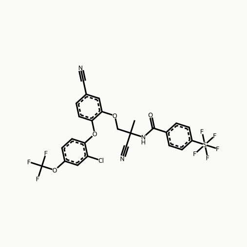 CC(C#N)(COc1cc(C#N)ccc1Oc1ccc(OC(F)(F)F)cc1Cl)NC(=O)c1ccc(S(F)(F)(F)(F)F)cc1